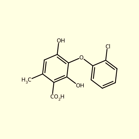 Cc1cc(O)c(Oc2ccccc2Cl)c(O)c1C(=O)O